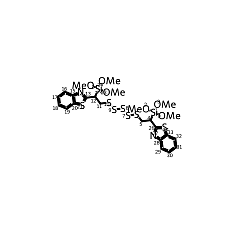 CO[Si](OC)(OC)C(CSSSSSCC(c1nc2ccccc2s1)[Si](OC)(OC)OC)c1nc2ccccc2s1